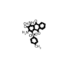 COc1c(N)c2c(c(S(=O)(=O)c3ccc(C)cc3)c1N)C(=O)c1ccccc1C2=O